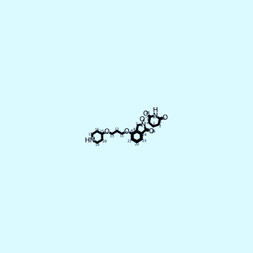 O=C1CCC([N+]2([O-])Cc3c(OCCCOC4CCNCC4)cccc3C2=O)C(=O)N1